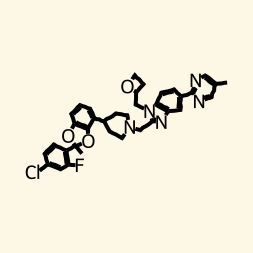 Cc1cnc(-c2ccc3c(c2)nc(CN2CCC(c4cccc5c4OC(C)(c4ccc(Cl)cc4F)O5)CC2)n3CC2CCO2)nc1